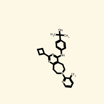 CC(C)(O)c1ccc(Nc2nc(C3CCC3)nc3c2CCN(c2ncccc2C(F)(F)F)CC3)cc1